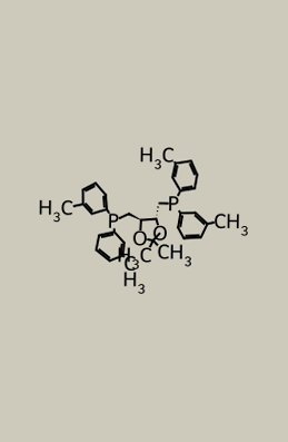 Cc1cccc(P(C[C@@H]2OC(C)(C)O[C@H]2CP(c2cccc(C)c2)c2cccc(C)c2)c2cccc(C)c2)c1